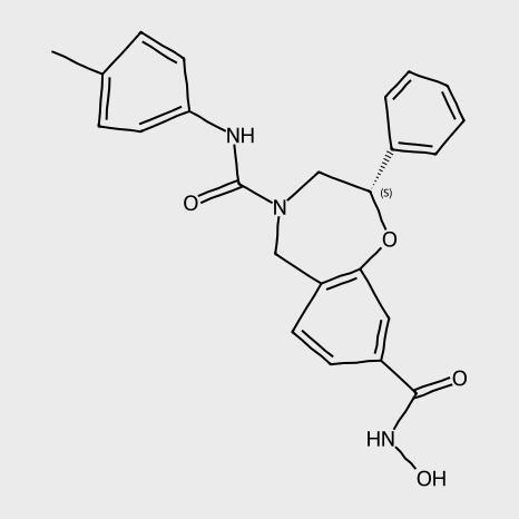 Cc1ccc(NC(=O)N2Cc3ccc(C(=O)NO)cc3O[C@@H](c3ccccc3)C2)cc1